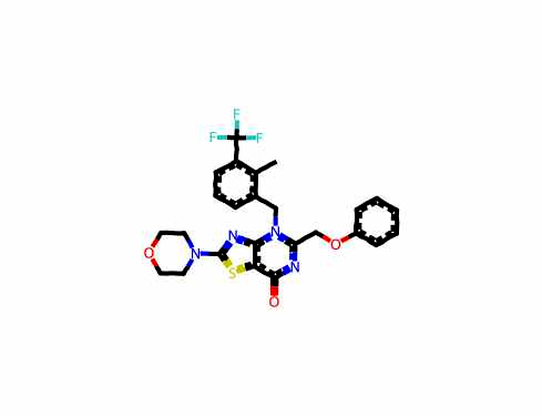 Cc1c(Cn2c(COc3ccccc3)nc(=O)c3sc(N4CCOCC4)nc32)cccc1C(F)(F)F